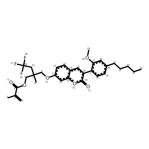 C=C(C)C(=O)OCC(C)(COc1ccc2cc(-c3ccc(CCCCC)cc3OC)c(=O)oc2c1)CC(F)(F)F